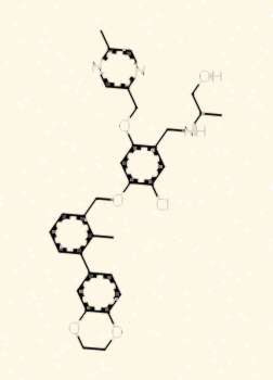 Cc1cnc(COc2cc(OCc3cccc(-c4ccc5c(c4)OCCO5)c3C)c(Cl)cc2CNC(C)CO)cn1